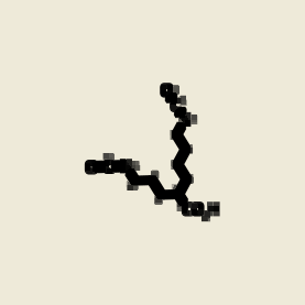 O=C=NCCCCC(CCCN=C=O)C(=O)O